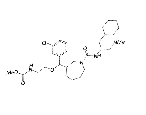 CNCC(CC1CCCCC1)NC(=O)N1CCCCC(C(OCCNC(=O)OC)c2cccc(Cl)c2)C1